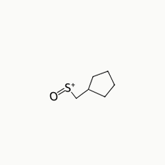 O=[S+]CC1CCCC1